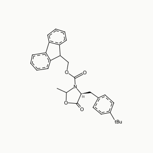 CC1OC(=O)[C@H](Cc2ccc(C(C)(C)C)cc2)N1C(=O)OCC1c2ccccc2-c2ccccc21